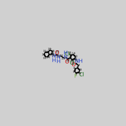 O=C(Cc1ccc(F)c(Cl)c1)Nc1ccc(Cl)c(C(=O)NCCNC(=O)N[C@@H]2CCc3ccccc32)c1Cl